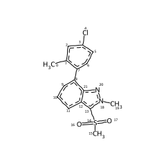 Cc1cc(Cl)ccc1-c1cccc2c(S(C)(=O)=O)n(C)nc12